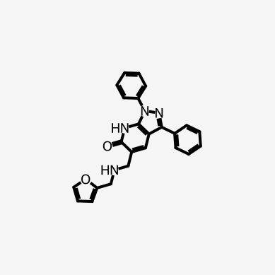 O=c1[nH]c2c(cc1CNCc1ccco1)c(-c1ccccc1)nn2-c1ccccc1